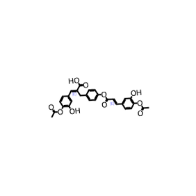 CC(=O)Oc1ccc(/C=C/C(=O)Oc2ccc(C/C(=C\c3ccc(OC(C)=O)c(O)c3)C(=O)O)cc2)cc1O